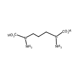 NN(CCCN(N)C(=O)O)C(=O)O